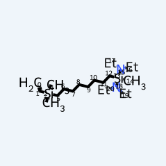 C=C[Si](C)(C)CCCCCCCC[Si](C)(N(CC)CC)N(CC)CC